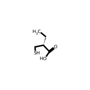 CC[C@@H](CS)C(=O)O